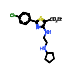 CCOC(=O)c1sc(-c2ccc(Cl)cc2)nc1NCCNC1CCCC1